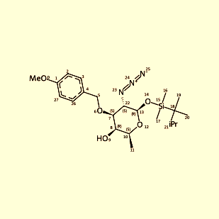 COc1ccc(CO[C@@H]2[C@H](O)[C@H](C)O[C@H](O[Si](C)(C)C(C)(C)C(C)C)[C@H]2N=[N+]=[N-])cc1